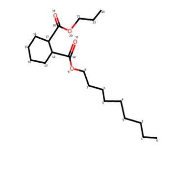 CCCCCCCCCOC(=O)C1CCCCC1C(=O)OCCC